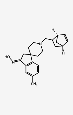 Cc1ccc2c(c1)/C(=N/O)CC21CCN(CC2C[C@H]3C=C[C@H]2C3)CC1